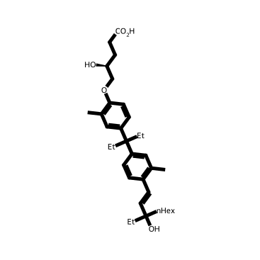 CCCCCCC(O)(/C=C/c1ccc(C(CC)(CC)c2ccc(OC[C@@H](O)CCC(=O)O)c(C)c2)cc1C)CC